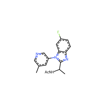 CC(=O)NC(C)c1nc2ccc(F)cc2n1-c1cncc(C)c1